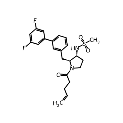 C=CCCC(=O)N1CC[C@H](NS(C)(=O)=O)[C@@H]1Cc1cccc(-c2cc(F)cc(F)c2)c1